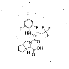 O=C(O)C1[C@H]2CCCC2CN1C(=O)[C@@H](CCC(F)(F)F)Nc1c(F)cc(F)cc1F